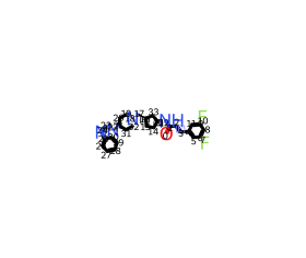 O=C(/C=C/c1cc(F)cc(F)c1)N[C@H]1CC[C@@H](CN2CCC(n3cnc4ccccc43)CC2)C1